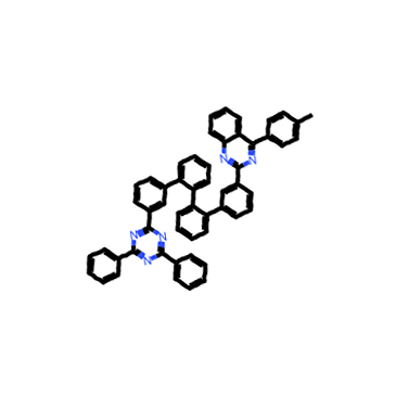 Cc1ccc(-c2nc(-c3cccc(-c4ccccc4-c4ccccc4-c4cccc(-c5nc(-c6ccccc6)nc(-c6ccccc6)n5)c4)c3)nc3ccccc23)cc1